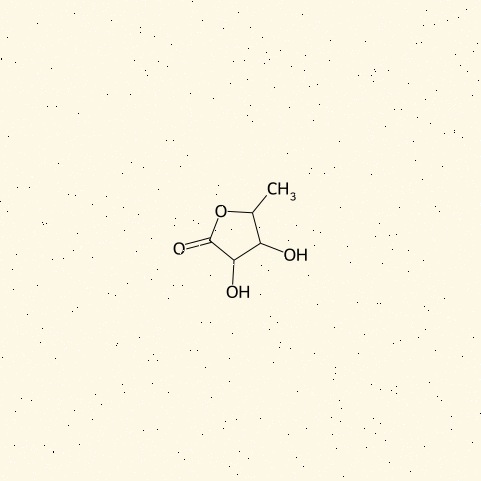 CC1OC(=O)C(O)C1O